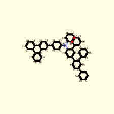 c1ccc(-c2ccc(-c3ccc(N(c4ccccc4)c4ccc(-c5ccc6c7ccccc7c7ccccc7c6c5)cc4)c(-c4ccccc4)c3)c(-c3ccccc3)c2)cc1